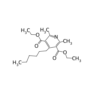 CCCCCCc1c(C(=O)OCC)c(C)nc(C)c1C(=O)OCC